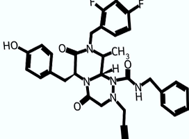 C#CCN1CC(=O)N2[C@@H](Cc3ccc(O)cc3)C(=O)N(Cc3ccc(F)cc3F)C(C)[C@@H]2N1C(=O)NCc1ccccc1